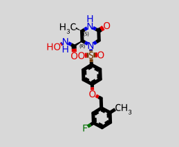 Cc1ccc(F)cc1COc1ccc(S(=O)(=O)N2CC(=O)N[C@@H](C)[C@@H]2C(=O)NO)cc1